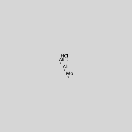 Cl.[Al].[Al].[Mo]